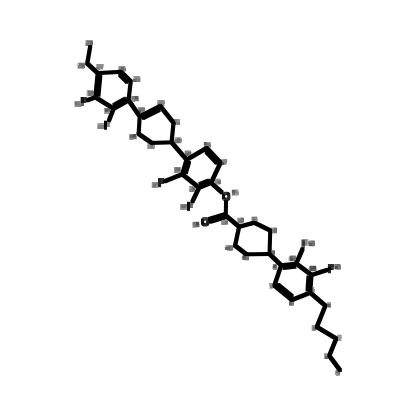 CCCCCc1ccc(C2CCC(C(=O)Oc3ccc(C4CC=C(c5ccc(CC)c(F)c5F)CC4)c(F)c3F)CC2)c(F)c1F